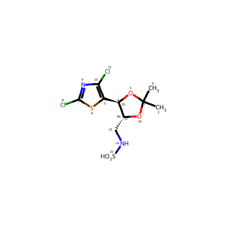 CC1(C)O[C@H](c2sc(Cl)nc2Cl)[C@@H](CNS(=O)(=O)O)O1